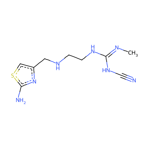 C/N=C(\NC#N)NCCNCc1csc(N)n1